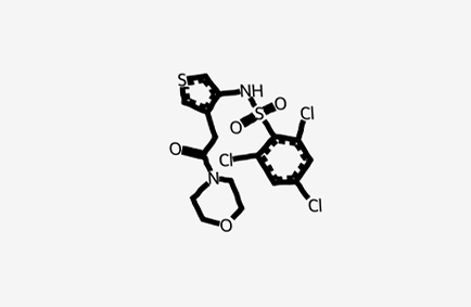 O=C(Cc1cscc1NS(=O)(=O)c1c(Cl)cc(Cl)cc1Cl)N1CCOCC1